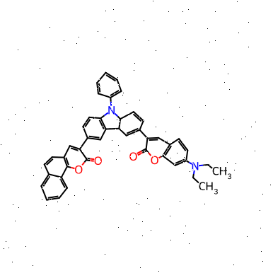 CCN(CC)c1ccc2cc(C3=CC4c5cc(-c6cc7ccc8ccccc8c7oc6=O)ccc5N(c5ccccc5)C4C=C3)c(=O)oc2c1